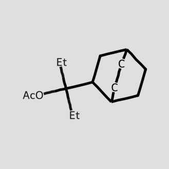 CCC(CC)(OC(C)=O)C1CC2CCC1CC2